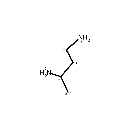 [CH2]C(N)C[CH]N